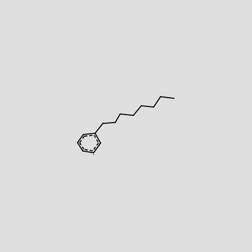 CCCCCCCCc1c[c]ccc1